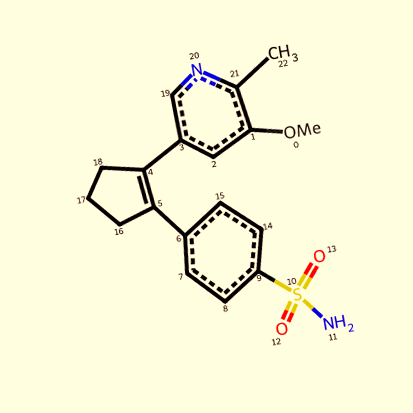 COc1cc(C2=C(c3ccc(S(N)(=O)=O)cc3)CCC2)cnc1C